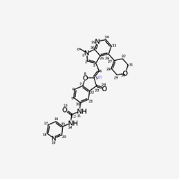 Cn1cc(/C=C2\Oc3ccc(NC(=O)Nc4cccnc4)cc3C2=O)c2c(C3=CCOCC3)ccnc21